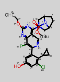 CC(C)(C)OC(=O)N1C2CCC1CN(c1nc(OCC=O)nc3c(F)c(-c4cc(O)cc(Cl)c4C4CC4)ncc13)C2